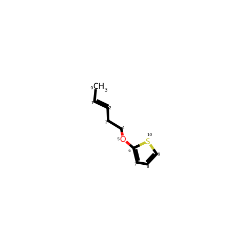 CC=CCCOc1cccs1